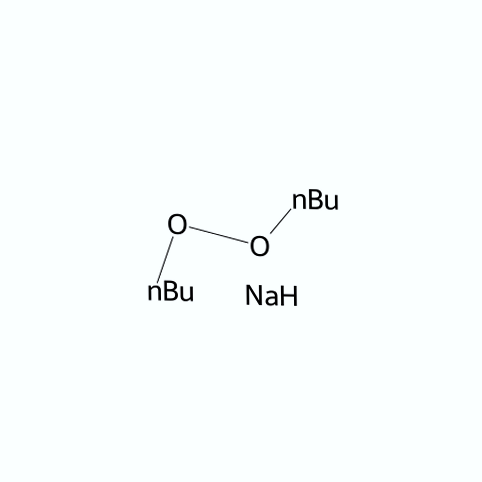 CCCCOOCCCC.[NaH]